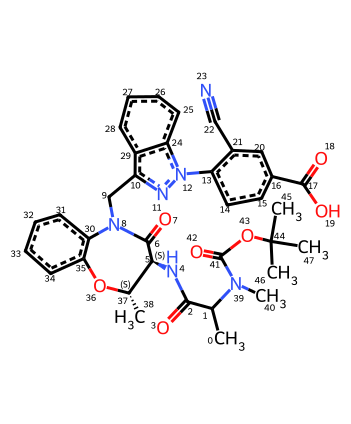 CC(C(=O)N[C@@H]1C(=O)N(Cc2nn(-c3ccc(C(=O)O)cc3C#N)c3ccccc23)c2ccccc2O[C@H]1C)N(C)C(=O)OC(C)(C)C